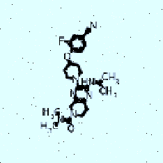 CC(C)Nc1nc2c(nc1N1CCC(Oc3ccc(C#N)cc3F)CC1)CN(C(=O)N(C)C)CC2